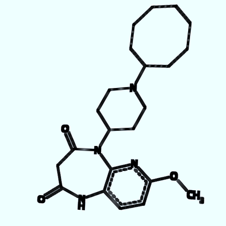 COc1ccc2c(n1)N(C1CCN(C3CCCCCCC3)CC1)C(=O)CC(=O)N2